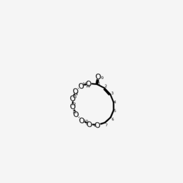 O=C1C=CCCCCOOOOOOOOO1